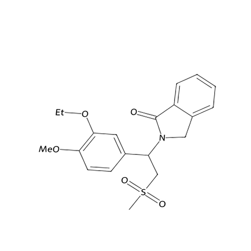 CCOc1cc(C(CS(C)(=O)=O)N2Cc3ccccc3C2=O)ccc1OC